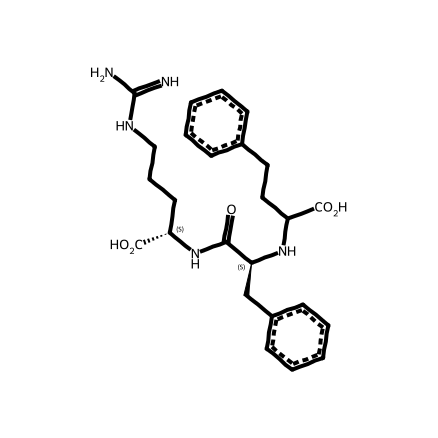 N=C(N)NCCC[C@H](NC(=O)[C@H](Cc1ccccc1)NC(CCc1ccccc1)C(=O)O)C(=O)O